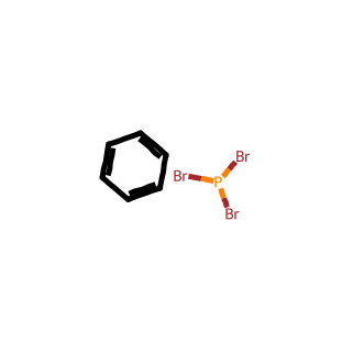 BrP(Br)Br.c1ccccc1